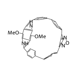 COc1c2cc3[nH]c2c(OC)c2cc([nH]c12)-c1ccc(cc1)-c1ccc(cc1)-c1ccc(c2nonc12)-c1ccc(cc1)-c1ccc-3cc1